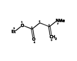 C=C(CC(=O)OCC)NC